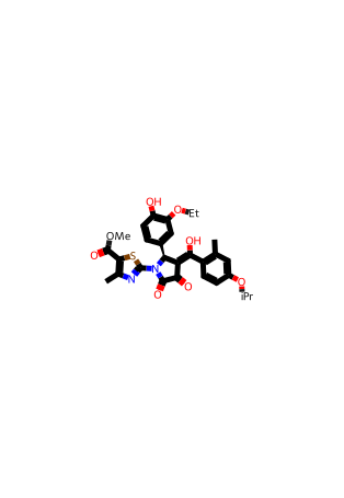 CCOc1cc([C@H]2C(=C(O)c3ccc(OC(C)C)cc3C)C(=O)C(=O)N2c2nc(C)c(C(=O)OC)s2)ccc1O